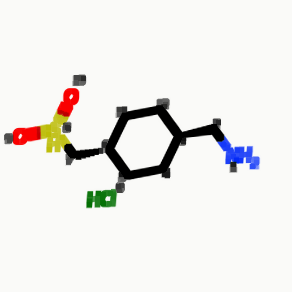 Cl.NC[C@H]1CC[C@H](C[SH](=O)=O)CC1